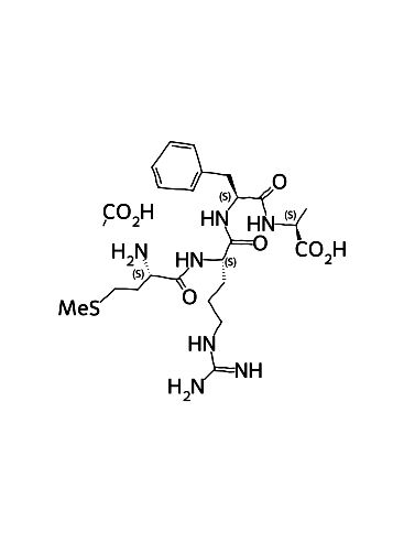 CC(=O)O.CSCC[C@H](N)C(=O)N[C@@H](CCCNC(=N)N)C(=O)N[C@@H](Cc1ccccc1)C(=O)N[C@@H](C)C(=O)O